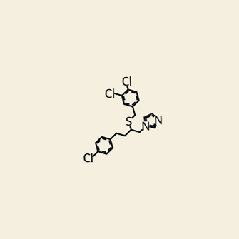 Clc1ccc(CCC(Cn2ccnc2)SCc2ccc(Cl)c(Cl)c2)cc1